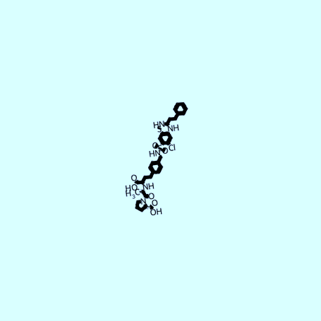 C[C@H](NC(CCc1ccc(CNS(=O)(=O)c2cc3c(cc2Cl)NC(CCc2ccccc2)NS3)cc1)C(=O)O)C(=O)N1CCC[C@H]1C(=O)O